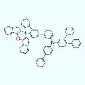 C1=CC(c2ccc(N(c3cccc(-c4ccc5c(c4)-c4ccccc4C54c5ccc6ccccc6c5Oc5c4ccc4ccccc54)c3)c3ccc(-c4ccccc4)c(-c4ccccc4)c3)cc2)=CCC1